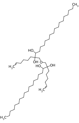 C=CCCCCC(O)(COCC(O)(CCCCC=C)C(O)CCCCCCCCCCCCCCCC)C(O)CCCCCCCCCCCCCCCC